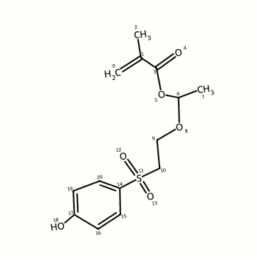 C=C(C)C(=O)OC(C)OCCS(=O)(=O)c1ccc(O)cc1